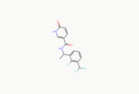 CC(NC(=O)c1ccc(=O)[nH]c1)c1cccc(C(F)F)c1F